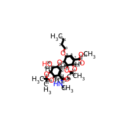 CCCCO[C@H]1C=C(C(=O)OC)[C@H]2OC(C)(C)O[C@H]2[C@@H]1O[C@H]1C=C(C(=O)NC)[C@H]2OC(C)(C)O[C@H]2[C@@H]1O